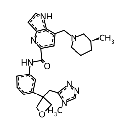 C[C@H]1CCCN(Cc2cc(C(=O)Nc3cccc(C4(Cc5nncn5C)COC4)c3)nc3cc[nH]c23)C1